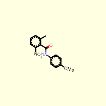 COc1ccc(NC(=O)c2c(C)cccc2[N+](=O)[O-])cc1